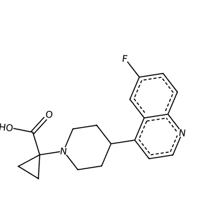 O=C(O)C1(N2CCC(c3ccnc4ccc(F)cc34)CC2)CC1